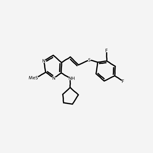 CSc1ncc(/C=C/Sc2ccc(F)cc2F)c(NC2CCCC2)n1